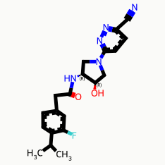 CC(C)c1ccc(CC(=O)N[C@@H]2CN(c3ccc(C#N)nn3)C[C@H]2O)cc1F